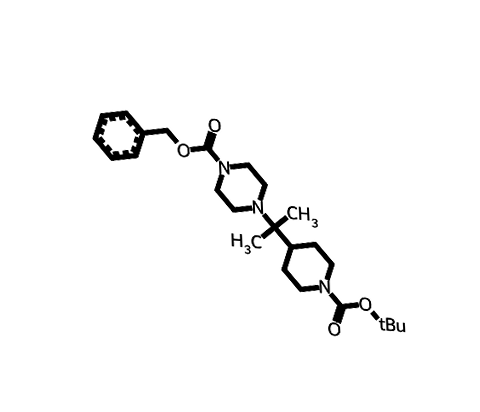 CC(C)(C)OC(=O)N1CCC(C(C)(C)N2CCN(C(=O)OCc3ccccc3)CC2)CC1